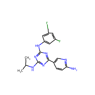 CC(C)Nc1nc(Nc2cc(F)cc(F)c2)nc(-c2ccc(N)nc2)n1